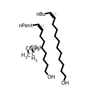 CC(=O)O.CC(=O)O.CCCC/C=C\CCCCCCCCCCO.CCCCC/C=C\CCCCCCCO